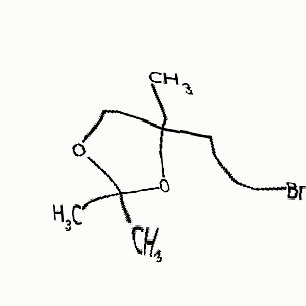 CC1(CCBr)COC(C)(C)O1